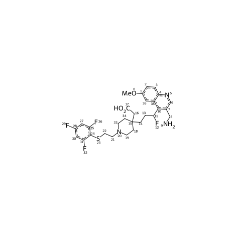 COc1ccc2ncc(CN)c(C(F)CCC3(CC(=O)O)CCN(CCSc4c(F)cc(F)cc4F)CC3)c2c1